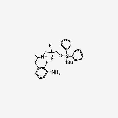 CC(Cc1cccc(N)c1F)NCC(F)(F)CO[Si](c1ccccc1)(c1ccccc1)C(C)(C)C